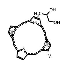 C1=Cc2cc3ccc(cc4nc(cc5ccc(cc1n2)[nH]5)C=C4)[nH]3.CC(O)CO.[V]